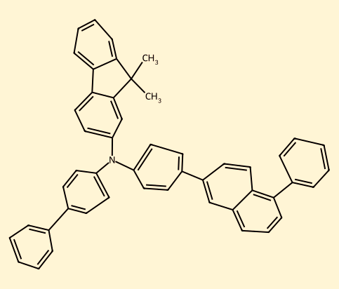 CC1(C)c2ccccc2-c2ccc(N(c3ccc(-c4ccccc4)cc3)c3ccc(-c4ccc5c(-c6ccccc6)cccc5c4)cc3)cc21